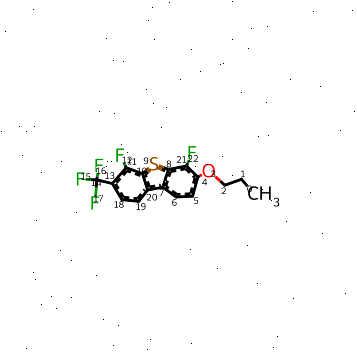 CCCOc1ccc2c(sc3c(F)c(C(F)(F)F)ccc32)c1F